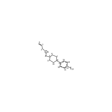 C=CCOCC1CCC(c2ccc(I)cc2)CC1